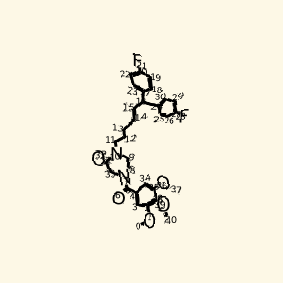 COc1cc(C(=O)N2CCN(CCCCCC(c3ccc(F)cc3)c3ccc(F)cc3)C(=O)C2)cc(OC)c1OC